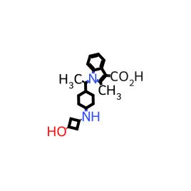 Cc1c(C(=O)O)c2ccccc2n1[C@H](C)C1CCC(N[C@H]2C[C@@H](O)C2)CC1